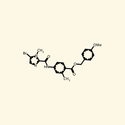 COc1ccc(COC(=O)c2ccc(NC(=O)c3ncc(Br)n3C)cc2C)cc1